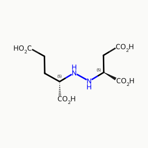 O=C(O)CC[C@H](NN[C@@H](CC(=O)O)C(=O)O)C(=O)O